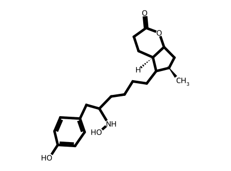 C[C@@H]1CC2OC(=O)CC[C@@H]2C1CCCCC(Cc1ccc(O)cc1)NO